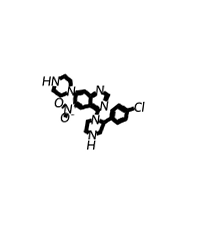 O=[N+]([O-])c1cc2c(N3CCNCC3c3ccc(Cl)cc3)ncnc2cc1N1CCNCC1